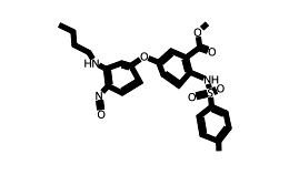 CCCCNc1cc(Oc2ccc(NS(=O)(=O)c3ccc(C)cc3)c(C(=O)OC)c2)ccc1N=O